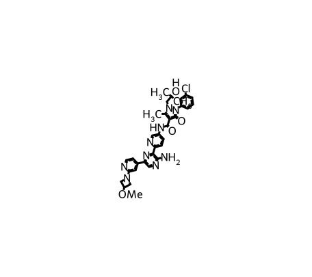 COC1CN(c2cc(-c3cnc(N)c(-c4ccc(NC(=O)c5c(C)n(CC(C)(C)O)n(-c6cccc(Cl)c6)c5=O)cn4)n3)ccn2)C1